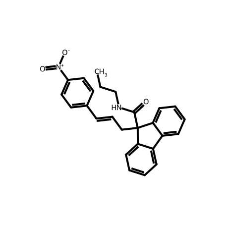 CCCNC(=O)C1(CC=Cc2ccc([N+](=O)[O-])cc2)c2ccccc2-c2ccccc21